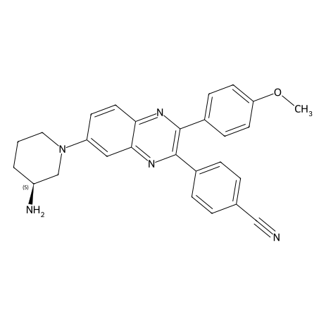 COc1ccc(-c2nc3ccc(N4CCC[C@H](N)C4)cc3nc2-c2ccc(C#N)cc2)cc1